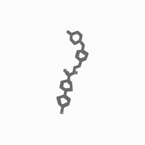 CN1CCN(Cc2ccc(CCNC(=O)c3ccc(-c4ccc(Cl)cc4)cc3)cc2)CC1